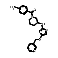 Nc1ccc(C(=O)N2CCCC(Nc3ncc(SCc4cccnc4)s3)C2)cc1